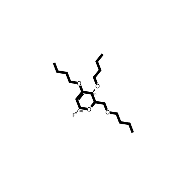 CCCCOCC1O[C@H](F)C=C(OCCCC)[C@@H]1OCCCC